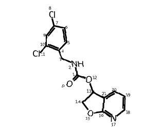 O=C(NCc1ccc(Cl)cc1Cl)OC1COc2ncccc21